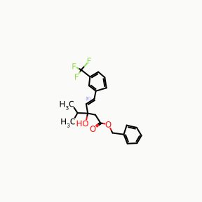 CC(C)C(O)(/C=C/c1cccc(C(F)(F)F)c1)CC(=O)OCc1ccccc1